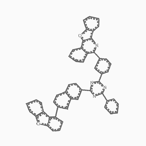 c1ccc(-c2nc(-c3cccc(-c4nc5c6ccccc6oc5c5ccccc45)c3)nc(-c3ccc4ccc(-c5cccc6oc7ccccc7c56)cc4c3)n2)cc1